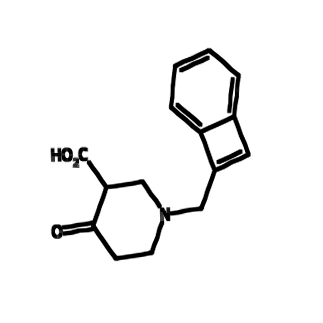 O=C(O)C1CN(CC2=Cc3ccccc32)CCC1=O